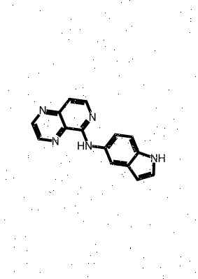 c1cc2nccnc2c(Nc2ccc3[nH]ccc3c2)n1